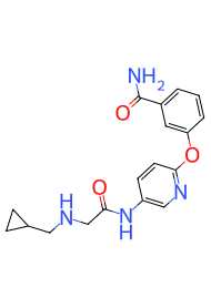 NC(=O)c1cccc(Oc2ccc(NC(=O)CNCC3CC3)cn2)c1